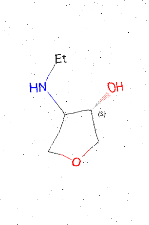 CCNC1COC[C@H]1O